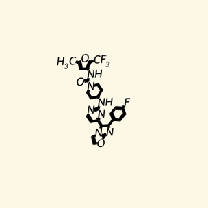 Cc1cc(NC(=O)N2CCC(Nc3nccc(C4C(c5ccc(F)cc5)N=C5OC=CN54)n3)CC2)c(C(F)(F)F)o1